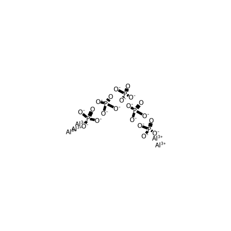 O=P([O-])([O-])[O-].O=P([O-])([O-])[O-].O=P([O-])([O-])[O-].O=P([O-])([O-])[O-].O=P([O-])([O-])[O-].[Al+3].[Al+3].[Al+3].[Al+3].[Al+3]